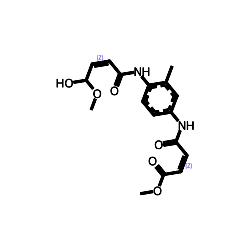 COC(=O)/C=C\C(=O)Nc1ccc(NC(=O)/C=C\C(O)OC)c(C)c1